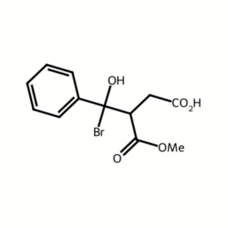 COC(=O)C(CC(=O)O)C(O)(Br)c1ccccc1